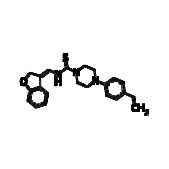 C=Cc1ccc(N2CCN(C(=S)N/C=C3/COc4ccccc43)CC2)cc1